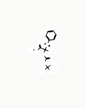 COC(=O)C(C)(NC(=O)OC(C)(C)C)S(=O)(=O)c1ccccc1